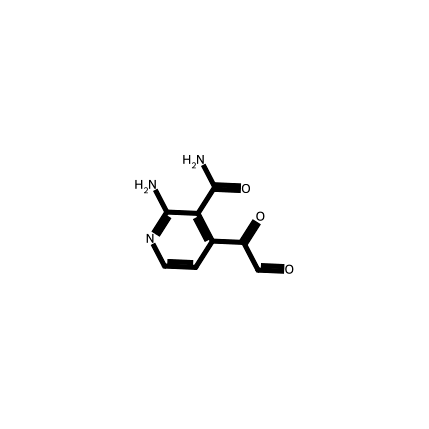 NC(=O)c1c(C(=O)C=O)ccnc1N